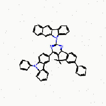 CC1(C)c2cc(-c3ccccc3)ccc2-c2nc(-n3c4ccccc4c4cc5ccccc5cc43)nc(-c3ccc4c(c3)c3ccccc3n4-c3ccccc3)c21